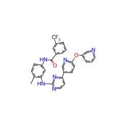 Cc1ccc(NC(=O)c2cccc(C(F)(F)F)c2)cc1Nc1nccc(-c2ccc(Oc3cccnc3)nc2)n1